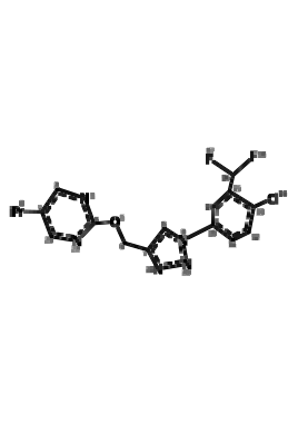 CC(C)c1cnc(OCc2cn(-c3ccc(Cl)c(C(F)F)c3)nn2)nc1